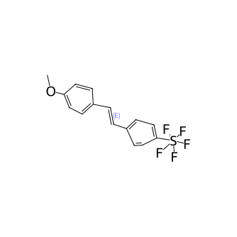 COc1ccc(/C=C/c2ccc(S(F)(F)(F)(F)F)cc2)cc1